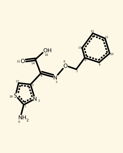 Nc1nc(C(=NOCc2ccccc2)C(=O)O)cs1